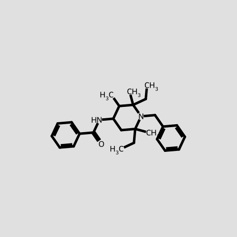 CCC1(C)CC(NC(=O)c2ccccc2)C(C)C(C)(CC)N1Cc1ccccc1